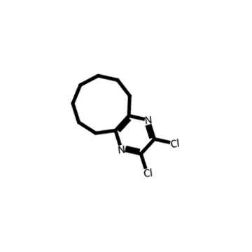 Clc1nc2c(nc1Cl)CCCCCCC2